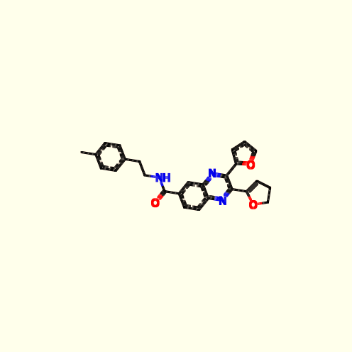 Cc1ccc(CCNC(=O)c2ccc3nc(C4=CCCO4)c(-c4ccco4)nc3c2)cc1